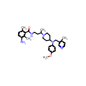 COc1ccc(N(Cc2cnccc2C)C2CCN(C(C)CCNC(=O)c3c(C)ccc(N)c3C)CC2)cc1